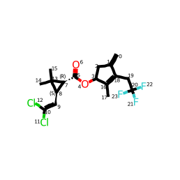 C=C1CC(OC(=O)[C@@H]2[C@@H](C=C(Cl)Cl)C2(C)C)C(C)=C1CC(F)(F)F